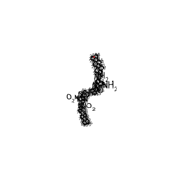 Nc1cc2c(CN3CC4CCC5C6CCC7C8CCCC9CCCC(C%10CCC(C%11CCC(C3)C4C5%11)C6C7%10)C98)c(N)cc3nc4c5ccc(-c6ccc7c8c6cccc8c(=O)n6c8cc([N+](=O)[O-])cc9c(CN%10CC%11CCC%12C%13CCC%14C%15CCCC%16CCCC(C%17CCC(C%18CCC(C%10)C%11C%12%18)C%13C%14%17)C%16%15)c([N+](=O)[O-])cc(nc76)c98)c6cccc(c(=O)n4c(c1)c32)c65